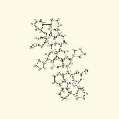 CCc1cccc(N(c2cc(C3CCCC3)c3ccc4c(N(c5cccc(CC)c5)c5cccc6c5oc5c(-c7ccccc7CC)cccc56)cc(C5CCCC5)c5ccc2c3c54)c2cccc3c2oc2c(-c4ccccc4CC)cccc23)c1